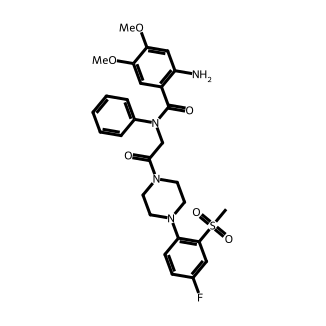 COc1cc(N)c(C(=O)N(CC(=O)N2CCN(c3ccc(F)cc3S(C)(=O)=O)CC2)c2ccccc2)cc1OC